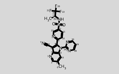 Cc1cnc2c(C#N)c(-c3ccc(S(=O)(=O)N[C@@H](C)C(F)(F)F)cn3)n(-c3ncccn3)c2c1